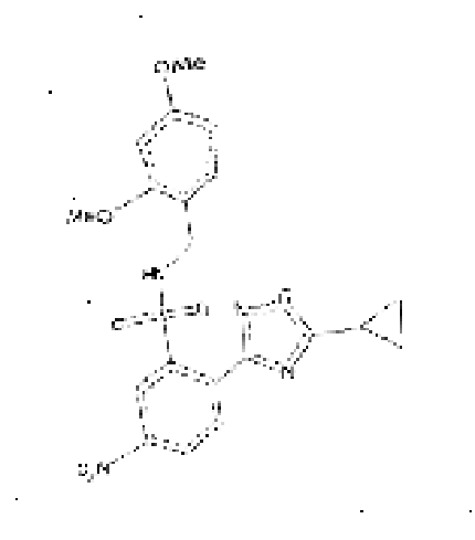 COc1ccc(CNS(=O)(=O)c2cc([N+](=O)[O-])ccc2-c2noc(C3CC3)n2)c(OC)c1